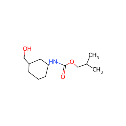 CC(C)COC(=O)NC1CCCC(CO)C1